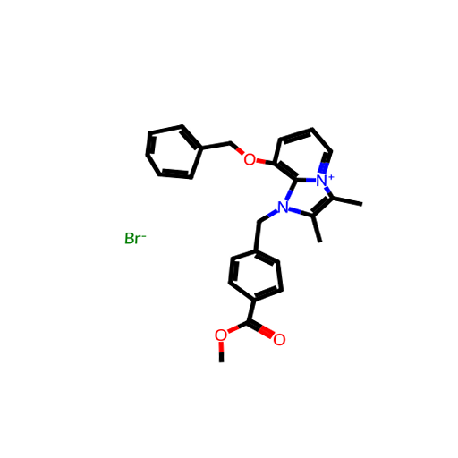 COC(=O)c1ccc(Cn2c(C)c(C)[n+]3cccc(OCc4ccccc4)c23)cc1.[Br-]